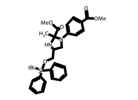 COC(=O)c1ccc(N2CC(CO[Si](c3ccccc3)(c3ccccc3)C(C)(C)C)NC2(C)C(=O)OC)cc1